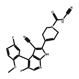 COc1ccc(F)cc1-c1c(F)cnc2[nH]c(C3=CCN(C(=O)NC#N)CC3)c(C#N)c12